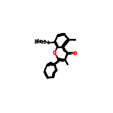 CNc1ccc(C)c2c(=O)c(C)c(-c3ccccc3)oc12